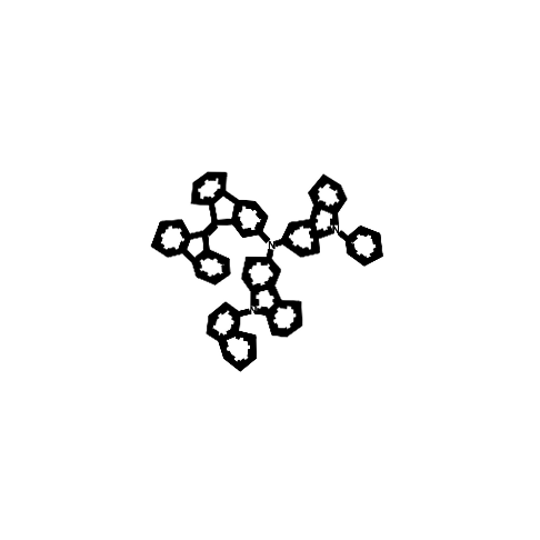 c1ccc(-n2c3ccccc3c3cc(N(c4ccc5c(c4)C(=C4c6ccccc6-c6ccccc64)c4ccccc4-5)c4ccc5c(c4)c4ccccc4n5-c4cccc5ccccc45)ccc32)cc1